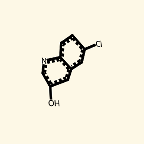 Oc1cnc2ccc(Cl)cc2c1